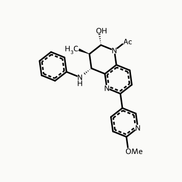 COc1ccc(-c2ccc3c(n2)[C@H](Nc2ccccc2)[C@@H](C)[C@H](O)N3C(C)=O)cn1